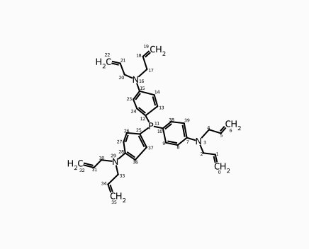 C=CCN(CC=C)c1ccc(P(c2ccc(N(CC=C)CC=C)cc2)c2ccc(N(CC=C)CC=C)cc2)cc1